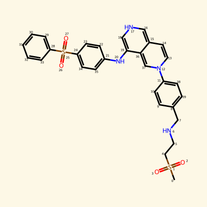 CS(=O)(=O)CCNCc1ccc(N2C=CC3=CNC=C(Nc4ccc(S(=O)(=O)c5ccccc5)cc4)C3=C2)cc1